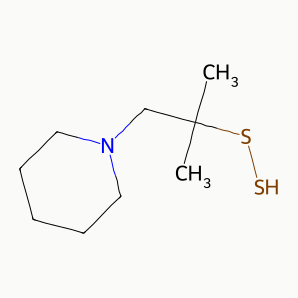 CC(C)(CN1CCCCC1)SS